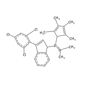 CC1=C(C)[CH]([Zr]([CH]2C=C(c3c(Cl)cc(Cl)cc3Cl)c3ccccc32)=[Si](C)C)C(C)=C1C